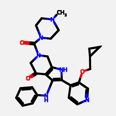 CN1CCN(C(=O)N2CC(=O)c3c([nH]c(-c4ccncc4OCC4CC4)c3Nc3ccccc3)C2)CC1